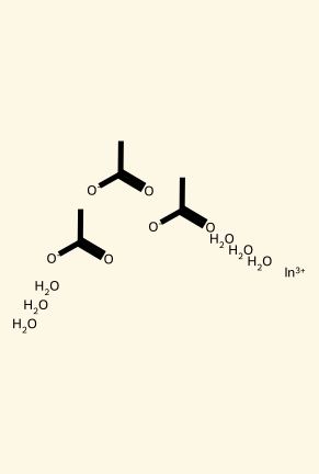 CC(=O)[O-].CC(=O)[O-].CC(=O)[O-].O.O.O.O.O.O.[In+3]